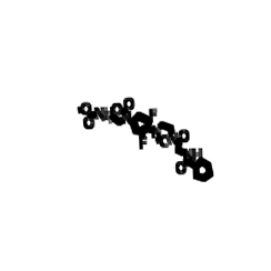 COC(=O)NC[C@H]1CN(c2cc(F)c(N3CCN(C(=O)CNC(=O)C4CCCCC4)CC3)c(F)c2)C(=O)O1